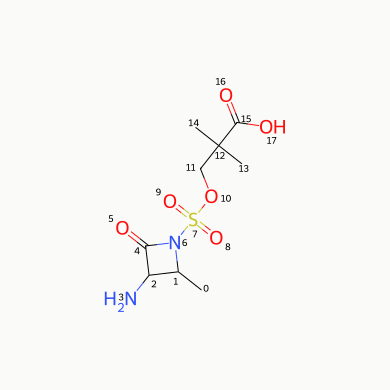 CC1C(N)C(=O)N1S(=O)(=O)OCC(C)(C)C(=O)O